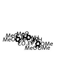 CCOC(=O)c1cc(OC)c(OC)cc1NC(=O)c1ccc(NC(=O)Nc2cc(OC)c(OC)c(OC)c2)cc1OC